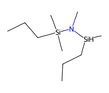 CCC[SiH](C)N(C)[Si](C)(C)CCC